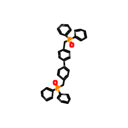 O=P(Cc1ccc(-c2ccc(CP(=O)(c3ccccc3)c3ccccc3)cc2)cc1)(c1ccccc1)c1ccccc1